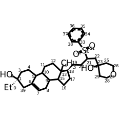 CC[C@]1(O)CCC2C(=CCC3C2CCC2(C)C3CC[C@@H]2CCC(CC2(O)CCOCC2)S(=O)(=O)c2ccccc2)C1